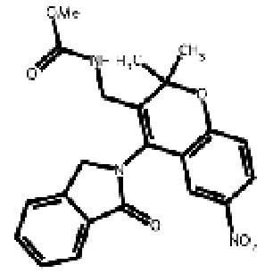 COC(=O)NCC1=C(N2Cc3ccccc3C2=O)c2cc([N+](=O)[O-])ccc2OC1(C)C